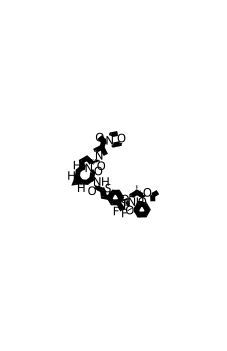 CC(C)OC(=O)[C@@H](C)CNP(=O)(Oc1ccccc1)C(F)(F)c1ccc2sc(C(=O)N[C@H]3C[C@@H]4C[C@@H]4C[C@H]4CC[C@@H](C(=O)N5CC(C(=O)N6CCOCC6)C5)N4C3=O)cc2c1